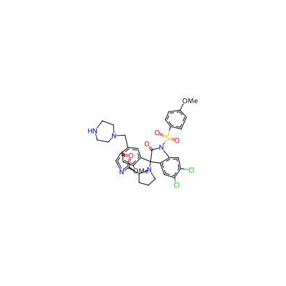 COc1ccc(S(=O)(=O)N2C(=O)C(c3cc(CN4CCNCC4)ccc3OC)(N3CCC[C@H]3c3ncco3)c3cc(Cl)c(Cl)cc32)cc1